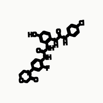 O=C(Nc1ccc(Cl)cc1)Nc1ccc(O)cc1NC(=O)Nc1ccc(N2CCOCC2=O)cc1F